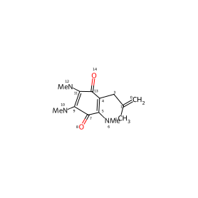 C=C(C)CC1=C(NC)C(=O)C(NC)=C(NC)C1=O